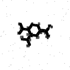 CC(C)C1CCC(=C(F)F)CN1C(C)C